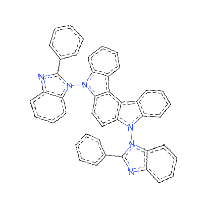 c1ccc(-c2nc3ccccc3n2-n2c3ccccc3c3c4c5ccccc5n(-n5c(-c6ccccc6)nc6ccccc65)c4ccc32)cc1